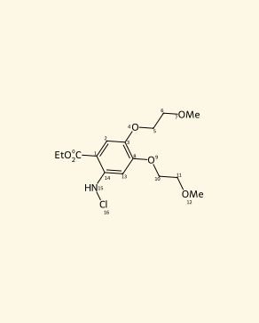 CCOC(=O)c1cc(OCCOC)c(OCCOC)cc1NCl